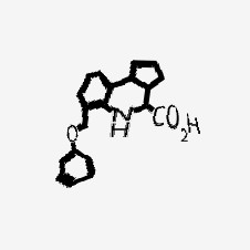 O=C(O)C1Nc2c(COc3ccccc3)cccc2C2C=CCC12